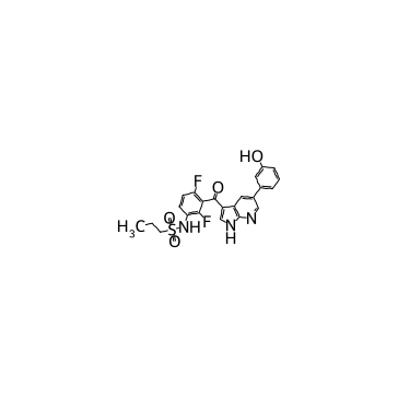 CCCS(=O)(=O)Nc1ccc(F)c(C(=O)c2c[nH]c3ncc(-c4cccc(O)c4)cc23)c1F